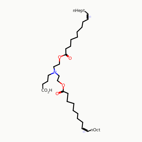 CCCCCCC/C=C\CCCCCCCC(=O)OCCN(CCCC(=O)O)CCOC(=O)CCCCCCC/C=C\CCCCCCCC